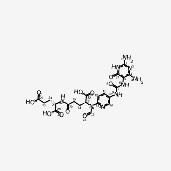 Nc1nc(N)c(NC(=O)Nc2ccc(N(C=O)[C@@H](CCC(=O)N[C@@H](CCC(=O)O)C(=O)O)C(=O)O)nc2)c(=O)[nH]1